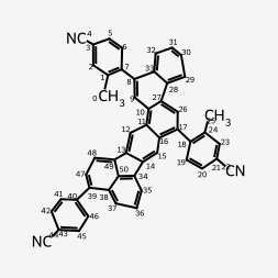 Cc1cc(C#N)ccc1-c1cc2c3cc4c(cc3c(-c3ccc(C#N)cc3C)cc2c2ccccc12)-c1cccc2c(-c3ccc(C#N)cc3)ccc-4c12